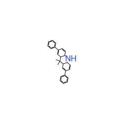 CC1(C)C2C=C(c3ccccc3)C=CC2NC2C=CC(c3ccccc3)=CC21